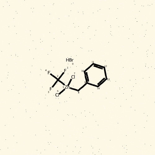 Br.F[C](F)(F)[Zn]([Cl])([Cl])[CH2]c1ccccc1